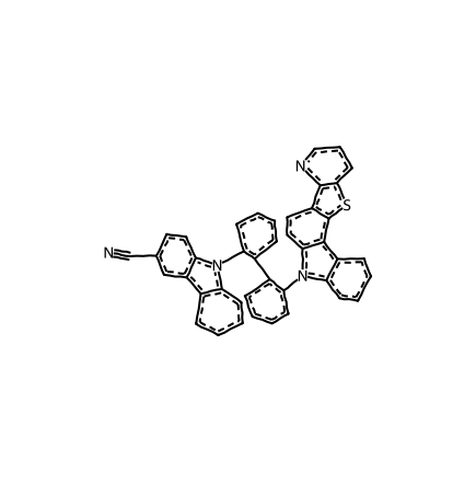 N#Cc1ccc2c(c1)c1ccccc1n2-c1ccccc1-c1ccccc1-n1c2ccccc2c2c3sc4cccnc4c3ccc21